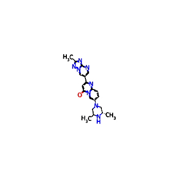 Cc1nc2ncc(-c3cc(=O)n4cc(N5CC(C)N[C@@H](C)C5)ccc4n3)cn2n1